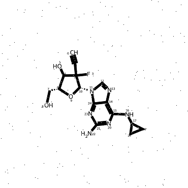 C#CC1(F)C(O)[C@@H](CO)O[C@H]1n1cnc2c(NC3CC3)nc(N)nc21